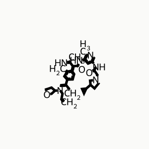 C=CCN(/C=C(\C=C)c1cc/c(=C(/C(C)=N)C(=O)Nc2cc(NC(=O)CN3CCC(C4CC4)C3)cnc2C)c(=C)c1)C1CCOC1